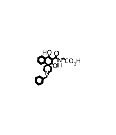 O=C(O)CNC(=O)C1=C(O)c2ccccc2C2(CCN(Cc3ccccc3)CC2)C1=O